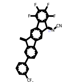 C=C1c2cc(-c3cccc(C(F)(F)F)c3)ccc2-c2cc3c(cc21)-c1c(F)c(F)c(F)c(F)c1/C3=N\C#N